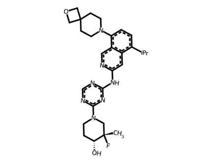 CC(C)c1ccc(N2CCC3(CC2)COC3)c2cnc(Nc3ncnc(N4CC[C@@H](O)[C@@](C)(F)C4)n3)cc12